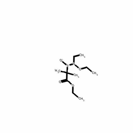 CCOC(=O)C(C)(C)[S+]([O-])N(CC)OCC